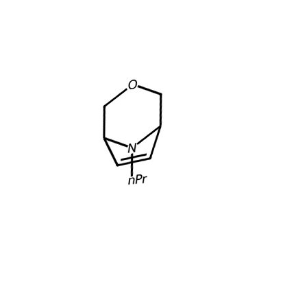 CCCN1C2C=CC1COC2